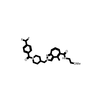 COCCNC(=O)C1=C(C)c2cn(CC3CCN(C(=O)c4ccc(C(F)F)cc4)CC3)nc2C=C=C1